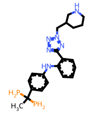 CC(P)(P)c1ccc(Nc2ccccc2-c2nnn(CC3CCCNC3)n2)cc1